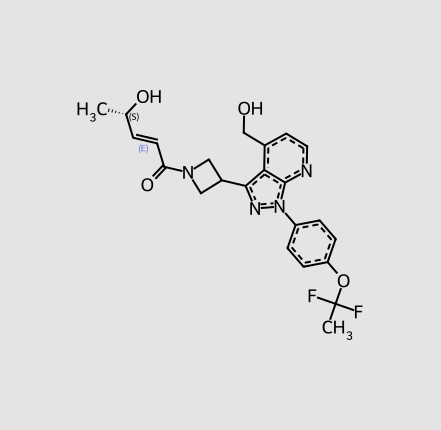 C[C@H](O)/C=C/C(=O)N1CC(c2nn(-c3ccc(OC(C)(F)F)cc3)c3nccc(CO)c23)C1